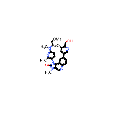 COCCN(C)c1ccc(-n2c(=O)n(C)c3cnc4ccc(-c5cnc(CO)c(OC)c5)cc4c32)c(C)n1